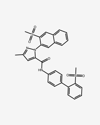 Cc1cc(C(=O)Nc2ccc(-c3ccccc3S(C)(=O)=O)cc2)n(-c2cc3ccccc3cc2S(C)(=O)=O)n1